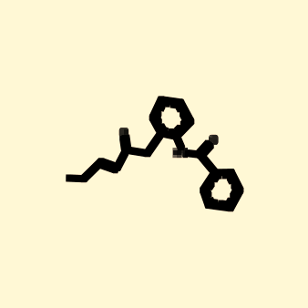 CCC=CC(=O)Cc1ccccc1NC(=O)c1ccccc1